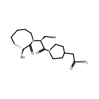 CC[C@H](C)[C@@H]1CCCCCN([C@@H](CC(C)C)C(=O)N2CCC(CC(N)=O)CC2)C1=O